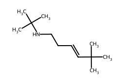 CC(C)(C)/C=C/CCNC(C)(C)C